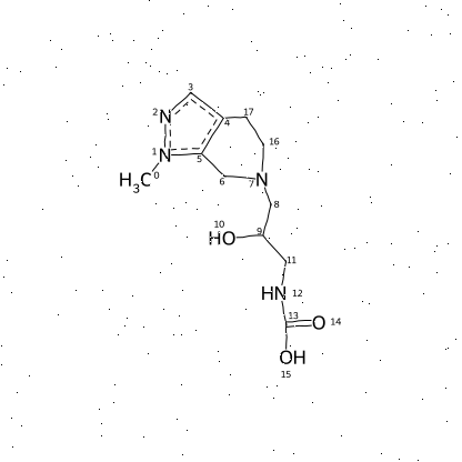 Cn1ncc2c1CN(CC(O)CNC(=O)O)CC2